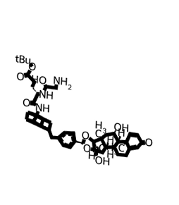 CC(C)(C)OC(=O)CC[C@H](NC(O)CN)C(=O)NC12C3C4C1C1C2C3C41Cc1ccc([C@@H]2O[C@@H]3C[C@H]4[C@@H]5CCC6=CC(=O)C=C[C@]6(C)[C@H]5[C@@H](O)C[C@]4(C)[C@]3(C(=O)CO)O2)cc1